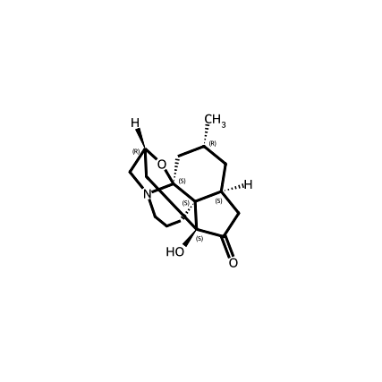 C[C@@H]1C[C@H]2CC(=O)[C@]3(O)C[C@@H]4CN5CCC[C@]23[C@]5(C1)O4